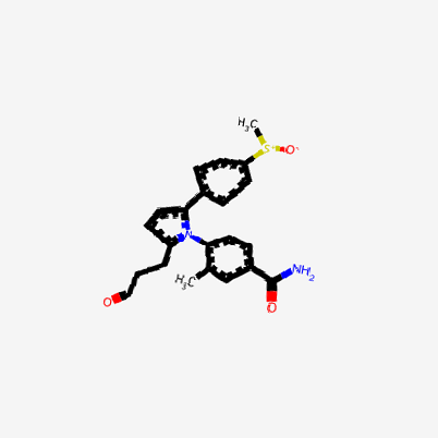 Cc1cc(C(N)=O)ccc1-n1c(CCC=O)ccc1-c1ccc([S+](C)[O-])cc1